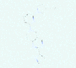 CO[C@H]1CCN(c2cc(F)cc(N3CCc4nc(-c5cscn5)ncc4C3C)n2)C1